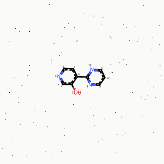 Oc1cnccc1-c1ncccn1